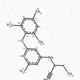 C#CC(CC)Nc1cc(C)nc(Oc2c(C)cc(C)cc2C)c1